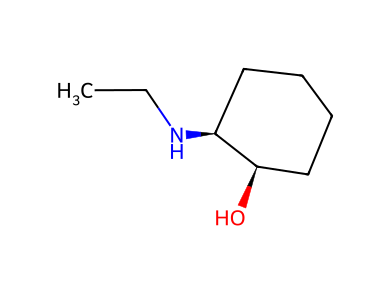 CCN[C@H]1CCCC[C@H]1O